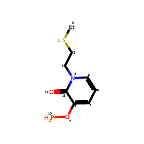 CCSCCn1cccc(OP)c1=O